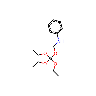 CCO[Si](OCC)(OCC)OCNc1ccccc1